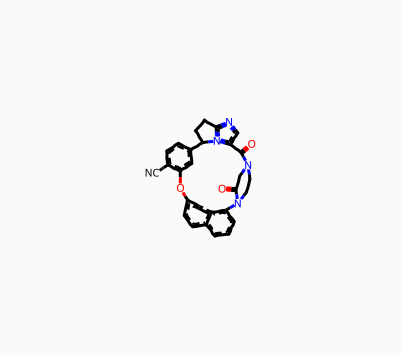 N#Cc1ccc2cc1Oc1ccc3cccc(c3c1)N1CCN(CC1=O)C(=O)c1cnc3n1C2CC3